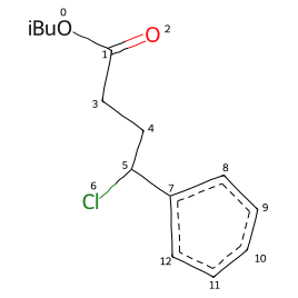 CC(C)COC(=O)CCC(Cl)c1ccccc1